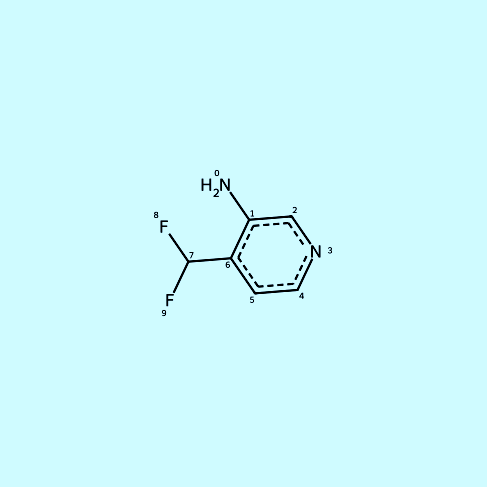 Nc1cnccc1C(F)F